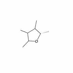 CC1O[C@@H](C)C(C)C1C